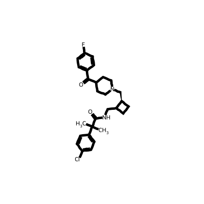 CC(C)(C(=O)NCC1CC[C@@H]1CN1CCC(C(=O)c2ccc(F)cc2)CC1)c1ccc(Cl)cc1